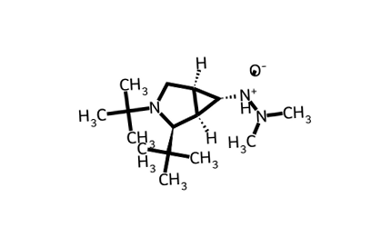 CN(C)[NH+]([O-])[C@H]1[C@@H]2CN(C(C)(C)C)[C@H](C(C)(C)C)[C@@H]21